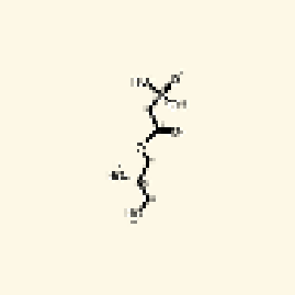 O=C(CP(=O)(O)O)OC[C@@H](O)CO